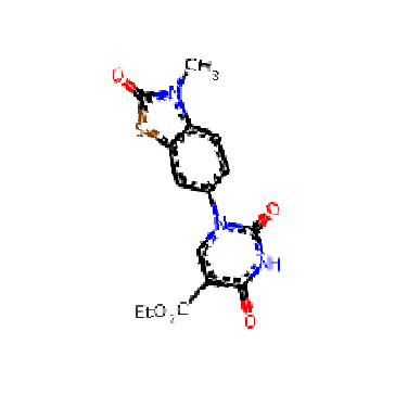 CCOC(=O)c1cn(-c2ccc3c(c2)sc(=O)n3C)c(=O)[nH]c1=O